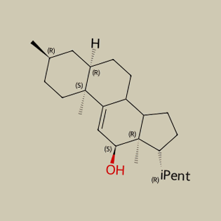 CCC[C@@H](C)C1CCC2C3CC[C@@H]4C[C@H](C)CC[C@]4(C)C3=C[C@H](O)[C@@]21C